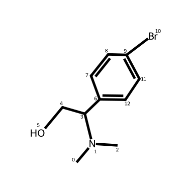 CN(C)C(CO)c1ccc(Br)cc1